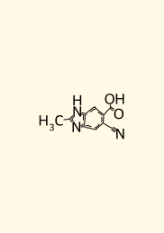 Cc1nc2cc(C#N)c(C(=O)O)cc2[nH]1